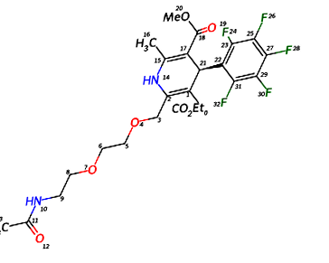 CCOC(=O)C1=C(COCCOCCNC(=O)C(F)(F)F)NC(C)=C(C(=O)OC)[C@H]1c1c(F)c(F)c(F)c(F)c1F